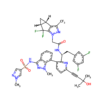 Cn1cc(S(=O)(=O)Nc2nn(C)c3c(-c4ccc(C#CC(C)(C)O)nc4[C@H](Cc4cc(F)cc(F)c4)NC(=O)Cn4nc(C(F)(F)F)c5c4C(F)(F)[C@@H]4C[C@H]54)cccc23)cn1